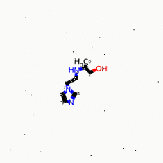 CC(CO)NCCn1ccnc1